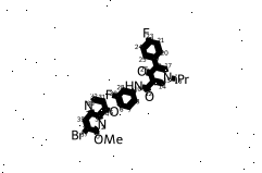 COc1nc2c(Oc3ccc(NC(=O)c4cn(C(C)C)cc(-c5ccc(F)cc5)c4=O)cc3F)ccnc2cc1Br